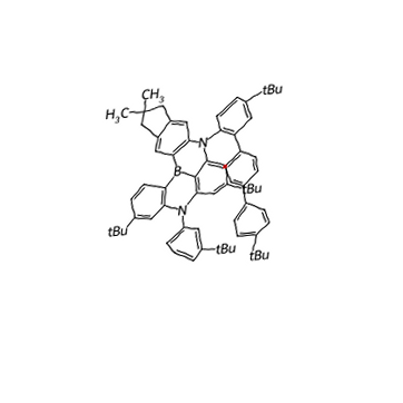 CC1(C)Cc2cc3c(cc2C1)N(c1ccc(C(C)(C)C)cc1-c1ccc(-c2ccc(C(C)(C)C)cc2)cc1)c1cc(C(C)(C)C)cc2c1B3c1ccc(C(C)(C)C)cc1N2c1cccc(C(C)(C)C)c1